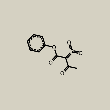 CC(=O)C(C(=O)Oc1ccccc1)=S(=O)=O